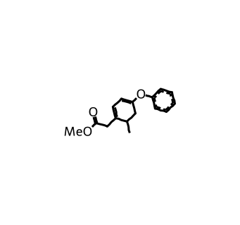 COC(=O)CC1=CC=C(Oc2ccccc2)CC1C